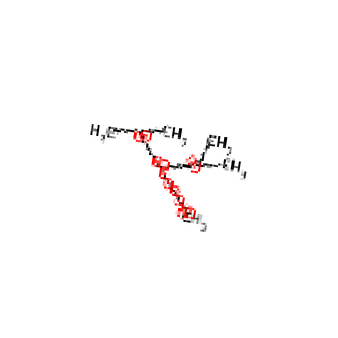 CCCCCCCCC(CCCCCCCC)OC(=O)CCCCCCCOCC(COCCOCCOCCOCCOS(C)(=O)=O)OCCCCCCCC(=O)OC(CCCCCCCC)CCCCCCCC